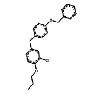 CCCOc1ccc(Cc2ccc(OCc3ccccc3)cc2)cc1Cl